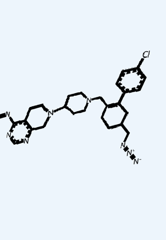 [N-]=[N+]=NCC1CCC(CN2CCC(N3CCc4c(ncnc4N=N)C3)CC2)=C(c2ccc(Cl)cc2)C1